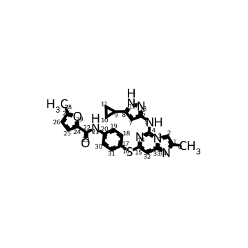 Cc1cn2c(Nc3cc(C4CC4)[nH]n3)nc(Sc3ccc(NC(=O)c4ccc(C)o4)cc3)cc2n1